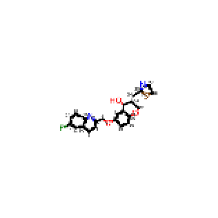 O[C@@H]1c2cc(OCc3ccc4cc(F)ccc4n3)ccc2OC[C@H]1Cc1nccs1